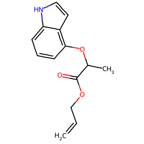 C=CCOC(=O)C(C)Oc1cccc2[nH]ccc12